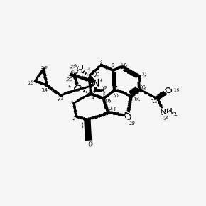 C=C1CC[C@@]2(OC)[C@H]3Cc4ccc(C(N)=O)c5c4[C@@]2(CC[N+]3(C)CC2CC2)C1O5